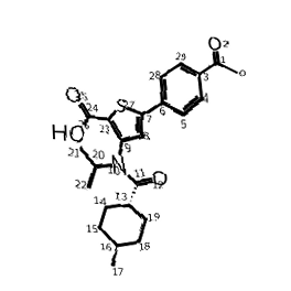 CC(=O)c1ccc(-c2cc(N(C(=O)[C@H]3CC[C@H](C)CC3)C(C)C)c(C(=O)O)s2)cc1